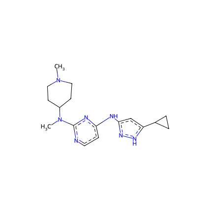 CN1CCC(N(C)c2nccc(Nc3cc(C4CC4)[nH]n3)n2)CC1